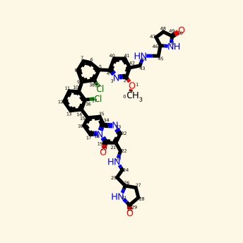 COc1nc(-c2cccc(-c3cccc(-c4ccn5c(=O)c(CNCCC6CCC(=O)N6)cnc5c4)c3Cl)c2Cl)ccc1CNCC1CCC(=O)N1